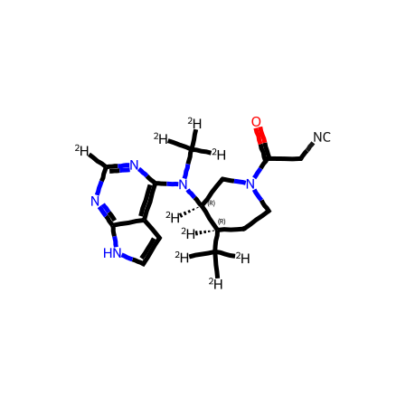 [2H]c1nc(N(C([2H])([2H])[2H])[C@@]2([2H])CN(C(=O)C[N+]#[C-])CC[C@@]2([2H])C([2H])([2H])[2H])c2cc[nH]c2n1